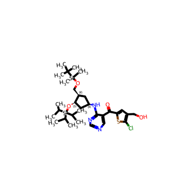 CC(C)[Si](O[C@H]1C[C@H](Nc2ncncc2C(=O)c2cc(CO)c(Cl)s2)C[C@@H]1CO[Si](C)(C)C(C)(C)C)(C(C)C)C(C)C